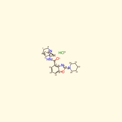 Cl.O=C(N[C@@H]1CC2CCN1CC2)c1cccc2oc(N3CCCCC3)nc12